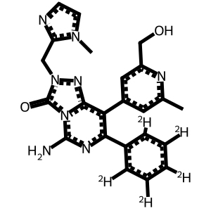 [2H]c1c([2H])c([2H])c(-c2nc(N)n3c(=O)n(Cc4nccn4C)nc3c2-c2cc(C)nc(CO)c2)c([2H])c1[2H]